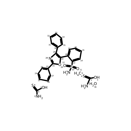 C.NC(O)=S.NC(O)=S.NS(=O)(=O)c1ccccc1-c1oc(-c2ccccc2)nc1-c1ccccc1.O